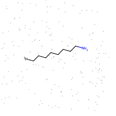 [3H]CCCCCCCCN